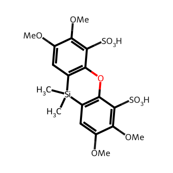 COc1cc2c(c(S(=O)(=O)O)c1OC)Oc1c(cc(OC)c(OC)c1S(=O)(=O)O)[Si]2(C)C